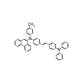 Cc1ccc(N(c2ccc(/C=C/c3ccc(N(c4ccccc4)c4ccccc4)cc3)cc2)c2cc3ccccc3c3ccccc23)cc1